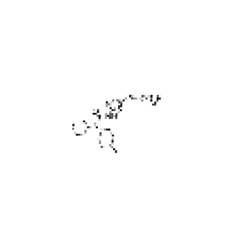 CCOC(=O)C=Cc1cnc(NC(=O)N(C2CCCCC2)[C@H]2CC[C@H](C)CC2)s1